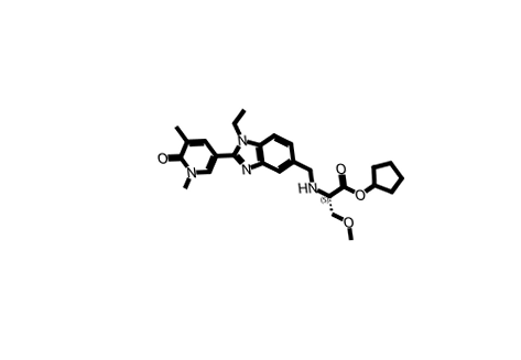 CCn1c(-c2cc(C)c(=O)n(C)c2)nc2cc(CN[C@@H](COC)C(=O)OC3CCCC3)ccc21